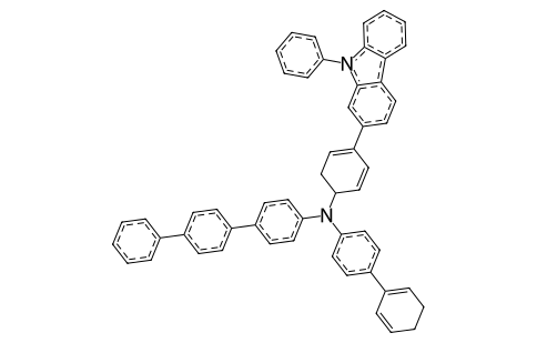 C1=CC(c2ccc(N(c3ccc(-c4ccc(-c5ccccc5)cc4)cc3)C3C=CC(c4ccc5c6ccccc6n(-c6ccccc6)c5c4)=CC3)cc2)=CCC1